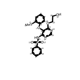 CSc1ccccc1Oc1c(NS(=O)(=O)c2ccccc2)ncnc1OCCO